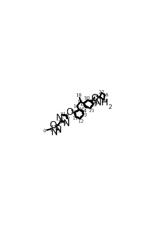 Cc1nnc(-c2ncc(Oc3ccccc3CC(C)c3cccc(OC4(N)CCC4)c3)cn2)o1